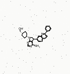 Nc1ncnc2c1C(c1ccc3ccc(-c4ccccc4)nc3c1)CN2[C@H]1CC[C@@H](CO)CC1